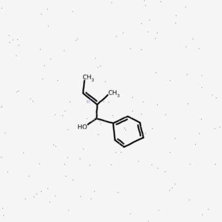 C/C=C(\C)[C](O)c1ccccc1